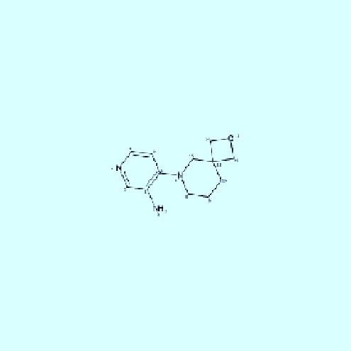 Nc1cnccc1N1CCCC2(COC2)C1